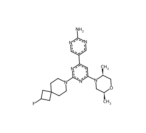 C[C@H]1CN(c2cc(-c3cnc(N)nc3)nc(N3CCC4(CC3)CC(F)C4)n2)[C@@H](C)CO1